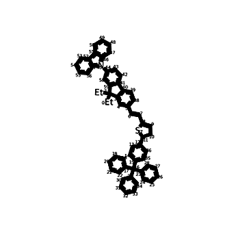 CCC1(CC)c2cc(/C=C/C3=CCC(c4ccc(C(c5ccccc5)(c5ccccc5)c5ccccc5)cc4)S3)ccc2-c2ccc(-n3c4ccccc4c4ccccc43)cc21